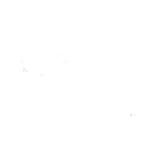 CCCCOc1ccc(S(=O)(=O)c2ccc(CNC(=O)c3cnc4[nH]ncc4c3)cc2)c(C)c1